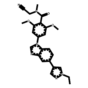 CCn1cc(-c2ccc3c(c2)ncn3-c2cc(OC)c(C(=O)N(C)CC#N)c(OC)c2)cn1